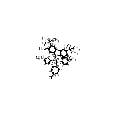 Cc1cc2c(cc1C(C)(C)C)-c1cc(C(C)(C)C)c(C)cc1[CH]2[Zr+2]([C]1=CC=CC1)=[C](c1ccc(Cl)cc1)c1ccc(Cl)cc1.[Cl-].[Cl-]